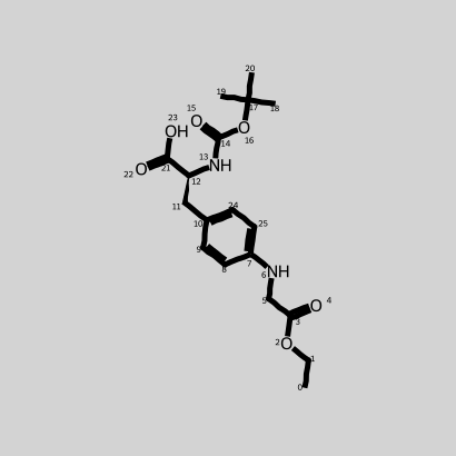 CCOC(=O)CNc1ccc(C[C@H](NC(=O)OC(C)(C)C)C(=O)O)cc1